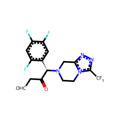 O=CCC(=O)[C@H](c1cc(F)c(F)cc1F)N1CCn2c(nnc2C(F)(F)F)C1